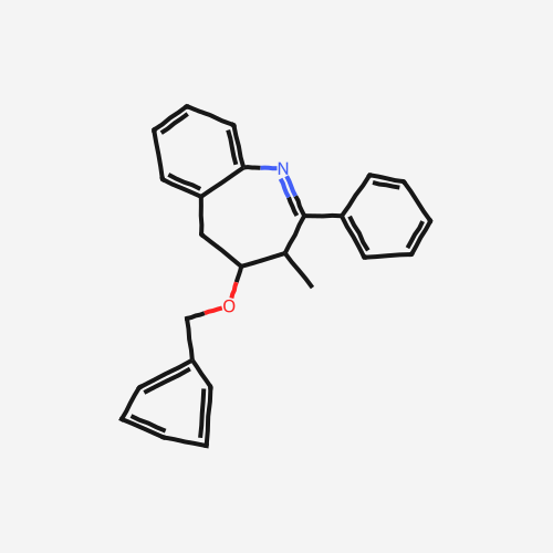 CC1C(c2ccccc2)=Nc2ccccc2CC1OCc1ccccc1